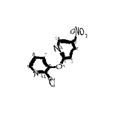 O=[N+]([O-])c1ccc(Oc2cccnc2Cl)nc1